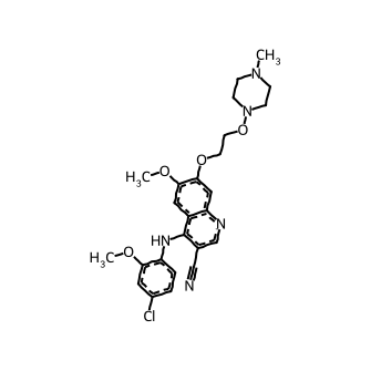 COc1cc(Cl)ccc1Nc1c(C#N)cnc2cc(OCCON3CCN(C)CC3)c(OC)cc12